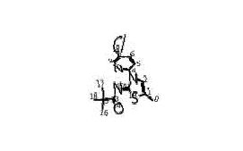 Cc1cn(-c2ccc(Cl)cn2)/c(=N/C(=O)C(C)(C)C)s1